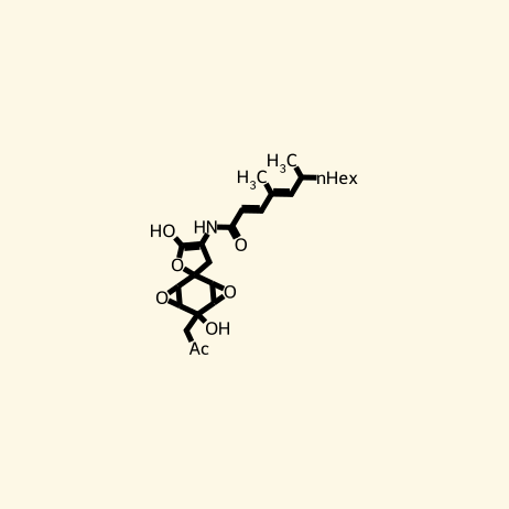 CCCCCCC(C)/C=C(C)/C=C/C(=O)NC1=C(O)OC2(C1)C1OC1C(O)(CC(C)=O)C1OC12